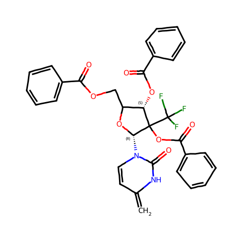 C=C1C=CN([C@@H]2OC(COC(=O)c3ccccc3)[C@H](OC(=O)c3ccccc3)C2(OC(=O)c2ccccc2)C(F)(F)F)C(=O)N1